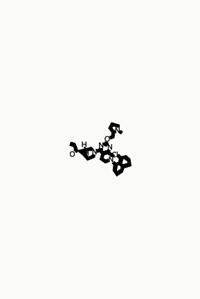 C=CC(=O)[C@H]1[C@@H]2CN(c3nc(OCC4CCCN4C)nc4c3CCN(c3cccc5cccc(Cl)c35)C4)CC[C@@H]21